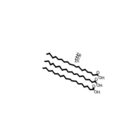 CCCCCCCCCCCCCCCCCC(=O)O.CCCCCCCCCCCCCCCCCC(=O)O.CCCCCCCCCCCCCCCCCC(=O)O.[Zn].[Zn].[Zn].[Zn]